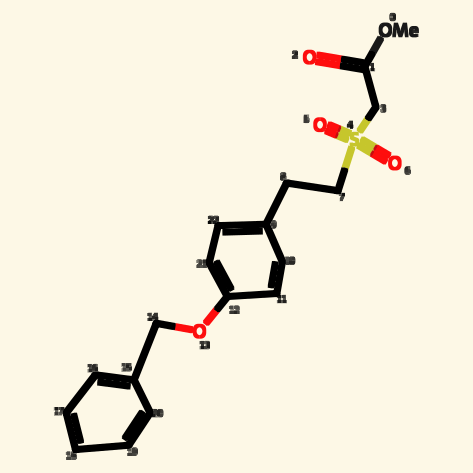 COC(=O)CS(=O)(=O)CCc1ccc(OCc2ccccc2)cc1